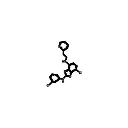 Clc1cccc(Nc2nc3c(NCCc4ccccn4)ccc(Cl)c3o2)c1